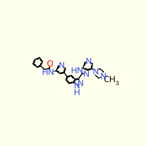 CN1CCN(c2cncc3[nH]c(-c4n[nH]c5ccc(-c6cncc(NC(=O)Cc7ccccc7)c6)cc45)nc23)CC1